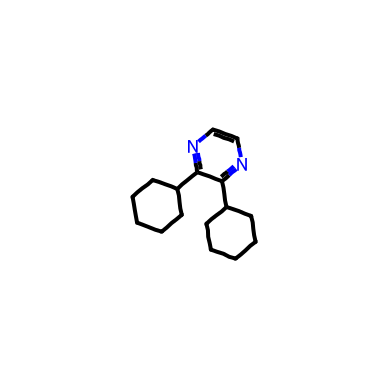 c1cnc(C2CCCCC2)c(C2CCCCC2)n1